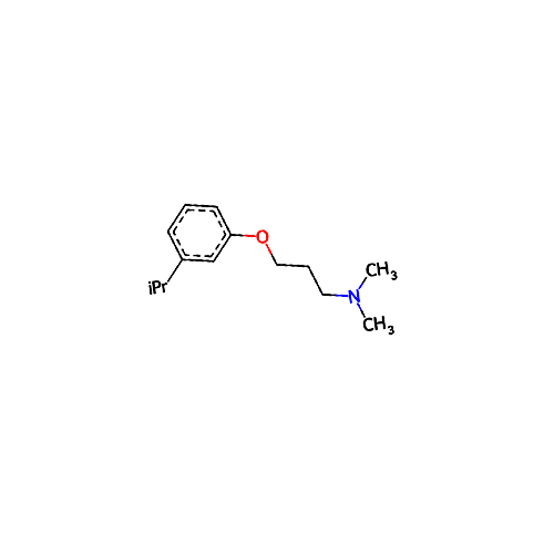 CC(C)c1cccc(OCCCN(C)C)c1